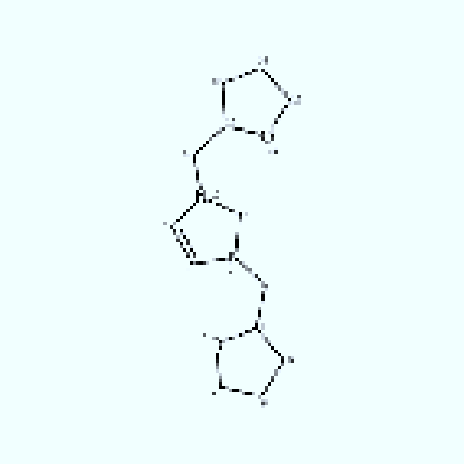 C1=CN(CC2CCCO2)CN1CC1CCCO1